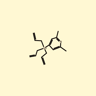 C=C[CH2][Sn]([CH2]C=C)([CH2]C=C)[c]1cc(C)nc(C)c1